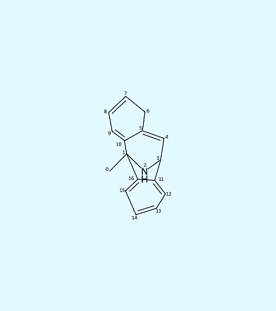 CC12NC(C=C3CC=CC=C31)c1ccccc12